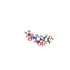 COC1=C(F)CC(C)([C@@H]2CCN(C(=O)OC(C)(C)C)C[C@H]2O)C=C1